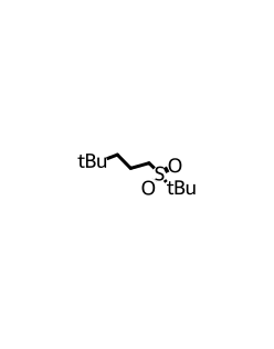 CC(C)(C)CCCS(=O)(=O)C(C)(C)C